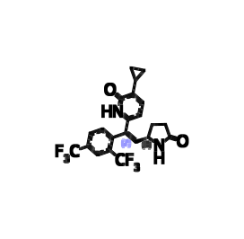 O=C1CC[C@H](/C=C(\c2ccc(C3CC3)c(=O)[nH]2)c2ccc(C(F)(F)F)cc2C(F)(F)F)N1